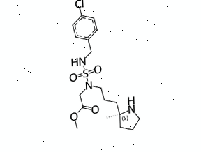 COC(=O)CN(CCC[C@]1(C)CCCN1)S(=O)(=O)NCc1ccc(Cl)cc1